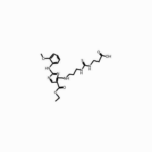 CCOC(=O)c1cnc(Nc2ccccc2OC)nc1NCCCNC(=S)NCCC(=O)O